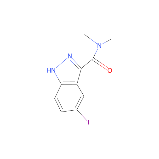 CN(C)C(=O)c1n[nH]c2ccc(I)cc12